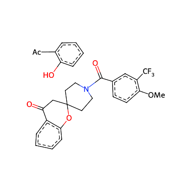 CC(=O)c1ccccc1O.COc1ccc(C(=O)N2CCC3(CC2)CC(=O)c2ccccc2O3)cc1C(F)(F)F